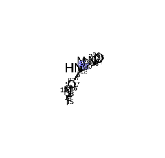 C/N=C1/NC(C#Cc2ccc(N(C)CCF)cc2)=C/C1=C/CN1CCOCC1